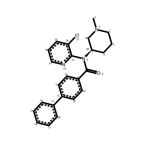 CN1CCC[C@@H](N(C(=O)c2ccc(-c3ccccc3)cc2)c2ncccc2Cl)C1